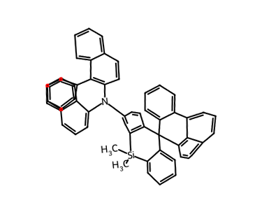 C[Si]1(C)c2ccccc2C2(c3ccccc3-c3cccc4cccc2c34)c2ccc(N(c3ccc4ccccc4c3-c3ccccc3)c3cccc4ccccc34)cc21